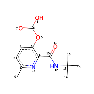 Cc1ccc(OC(=O)O)c(C(=O)NC(C)(C)C)n1